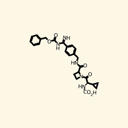 N=C(NC(=O)OCc1ccccc1)c1ccc(CNC(=O)C2CCN2C(=O)[C@H](NC(=O)O)C2CC2)cc1